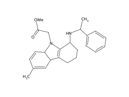 COC(=O)CN1C2=C(CCCC2NC(C)c2ccccc2)C2C=C(C)C=CC21